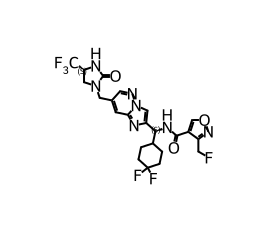 O=C(N[C@H](c1cn2ncc(CN3C[C@@H](C(F)(F)F)NC3=O)cc2n1)C1CCC(F)(F)CC1)c1conc1CF